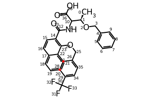 C[C@@H](OCc1ccccc1)C(NC(=O)c1ccc2ccccc2c1OCc1ccc(C(F)(F)F)cc1)C(=O)O